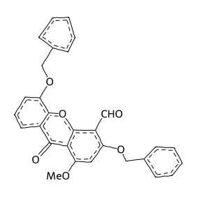 COc1cc(OCc2ccccc2)c(C=O)c2oc3c(OCc4ccccc4)cccc3c(=O)c12